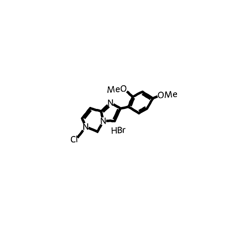 Br.COc1ccc(-c2cn3c(n2)C=CN(Cl)C3)c(OC)c1